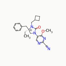 CC[C@@]1(Cc2ccccc2)CN(c2cnc(C#N)nc2OC)C(=O)N1CC1CCC1